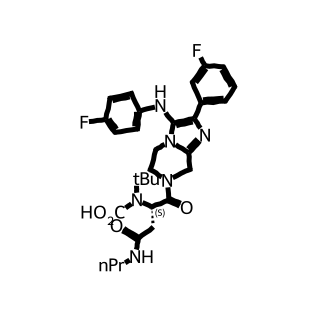 CCCNC(=O)C[C@@H](C(=O)N1CCn2c(nc(-c3cccc(F)c3)c2Nc2ccc(F)cc2)C1)N(C(=O)O)C(C)(C)C